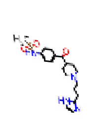 CS(=O)(=O)Nc1ccc(C(=O)C2CCN(CCCc3ncc[nH]3)CC2)cc1